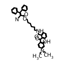 CCN(CC)c1ccc(C(=O)c2ccccc2C(=O)NCCCCCCOC(=O)C(C#N)=C(c2ccccc2)c2ccccc2)c(O)c1